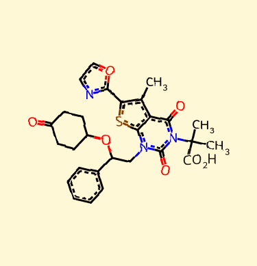 Cc1c(-c2ncco2)sc2c1c(=O)n(C(C)(C)C(=O)O)c(=O)n2CC(OC1CCC(=O)CC1)c1ccccc1